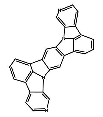 c1cc2c3ccncc3n3c4cc5c6cccc7c8ccncc8n(c5cc4c(c1)c23)c76